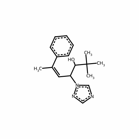 C/C(=C/C(C(O)C(C)(C)C)n1cncn1)c1ccccc1